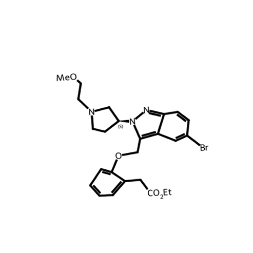 CCOC(=O)Cc1ccccc1OCc1c2cc(Br)ccc2nn1[C@H]1CCN(CCOC)C1